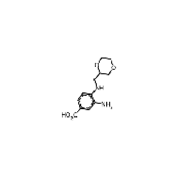 Nc1cc(C(=O)O)ccc1NCC1COCCO1